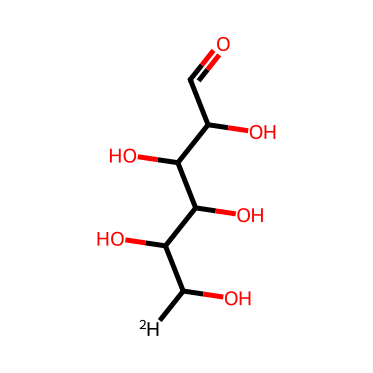 [2H]C(O)C(O)C(O)C(O)C(O)C=O